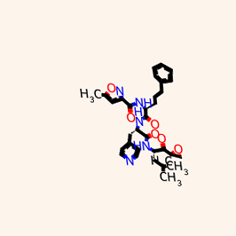 Cc1cc(C(=O)N[C@@H](CCCc2ccccc2)C(=O)N[C@@H](Cc2ccncc2)C(=O)N[C@@H](CC(C)C)C(=O)[C@@]2(C)CO2)no1